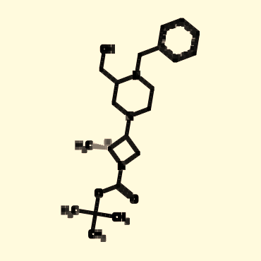 C[C@@H]1C(N2CCN(Cc3ccccc3)C(CO)C2)CN1C(=O)OC(C)(C)C